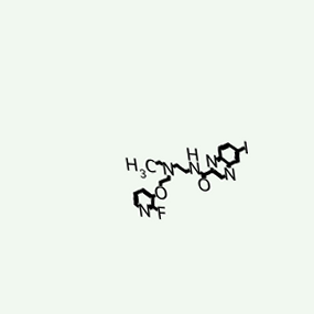 CCN(CCNC(=O)c1cnc2cc(I)ccc2n1)CCOc1cccnc1F